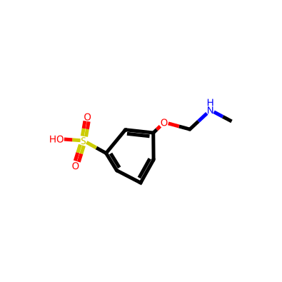 CNCOc1cccc(S(=O)(=O)O)c1